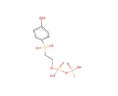 CP(=O)(O)OP(=O)(O)OCCS(=O)(=O)c1ccc(O)cc1